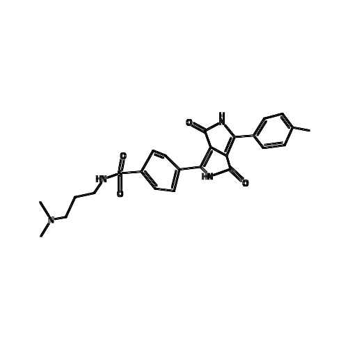 Cc1ccc(C2=C3C(=O)NC(c4ccc(S(=O)(=O)NCCCN(C)C)cc4)=C3C(=O)N2)cc1